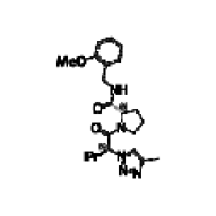 COc1ccccc1CNC(=O)[C@@H]1CCCN1C(=O)[C@H](C(C)C)n1cc(C)nn1